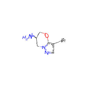 CC(C)c1cnn2c1OCC(N)C2